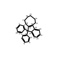 c1ccc(C2(c3ccccc3)C3=C(CCCCCC3)c3ccccc32)cc1